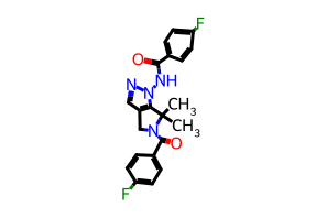 CC1(C)c2c(cnn2NC(=O)c2ccc(F)cc2)CN1C(=O)c1ccc(F)cc1